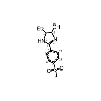 CCC1NC(c2ccc(S(C)(=O)=O)cc2)=NC1O